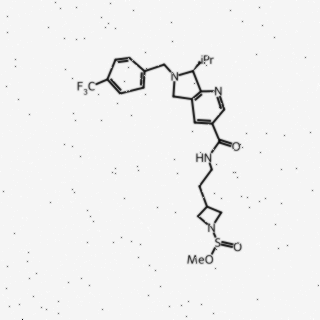 COS(=O)N1CC(CCNC(=O)c2cnc3c(c2)CN(Cc2ccc(C(F)(F)F)cc2)[C@H]3C(C)C)C1